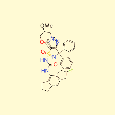 CO[C@@H]1COc2c(S(=O)(=NC(c3ccccc3)(c3ccccc3)c3ccccc3)NC(=O)Nc3c4c(cc5c3C[C@@H](F)C5)CCC4)cnn2C1